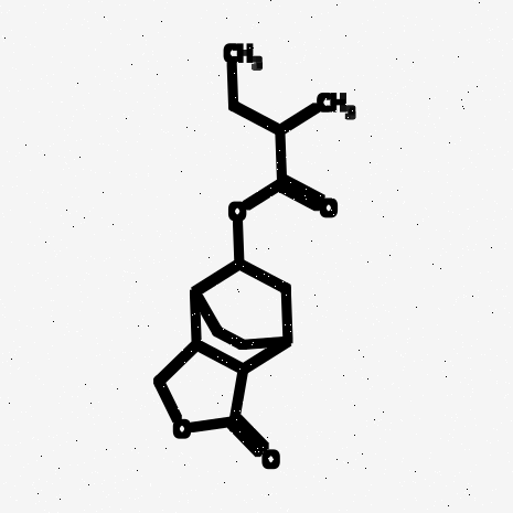 CCC(C)C(=O)OC1CC2CCC1C1COC(=O)C21